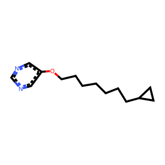 c1ncc(OCCCCCCCC2CC2)cn1